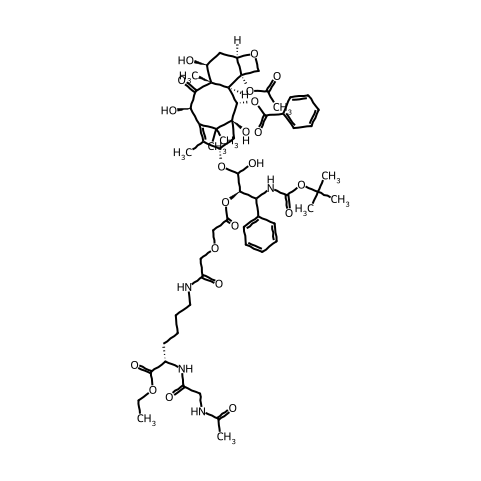 CCOC(=O)[C@H](CCCCNC(=O)COCC(=O)O[C@@H](C(O)O[C@H]1C[C@@]2(O)[C@@H](OC(=O)c3ccccc3)[C@@H]3[C@]4(OC(C)=O)CO[C@@H]4C[C@H](O)[C@@]3(C)C(=O)[C@H](O)C(=C1C)C2(C)C)C(NC(=O)OC(C)(C)C)c1ccccc1)NC(=O)CNC(C)=O